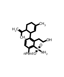 C=C(C)C1CCC(C)=CC1c1ccc(CCCCC)c(S(N)(=O)=O)c1CCO